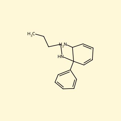 CCCCNC1(c2ccccc2)C=CC=CC1N